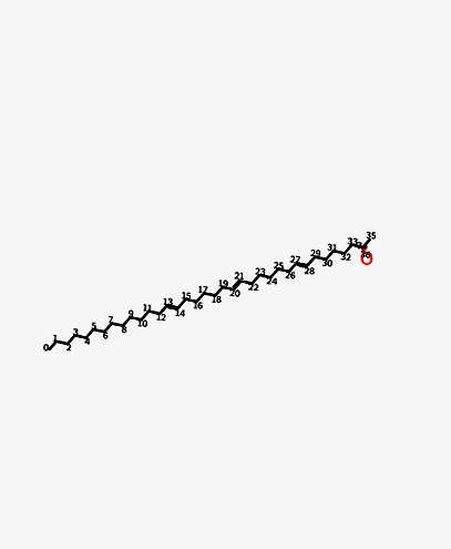 CCCCCCCCCCCCC/C=C/CCCCC/C=C/CCCCC/C=C/CCCCCC(C)=O